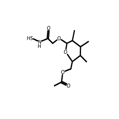 CC(=O)OCC1OC(OCC(=O)NS)C(C)C(C)C1C